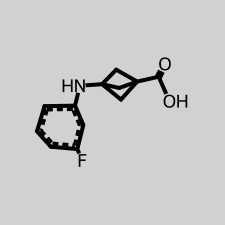 O=C(O)C12CC(Nc3cccc(F)c3)(C1)C2